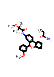 CCC(N)=O.COc1cccc(C2Oc3ccccc3-c3ccc(NC(=O)C(C)(C)OC)cc32)c1